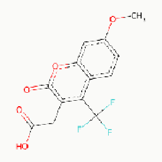 COc1ccc2c(C(F)(F)F)c(CC(=O)O)c(=O)oc2c1